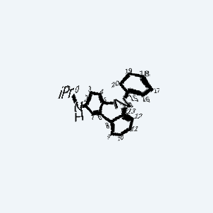 CC(C)Nc1ccc2c(c1)c1ccccc1n2-c1ccccc1